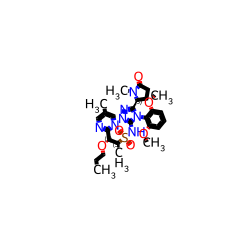 CCCO[C@@H](c1ncc(C)cn1)[C@H](C)S(=O)(=O)Nc1nnc([C@@H]2CCC(=O)N2C)n1-c1c(OC)cccc1OC